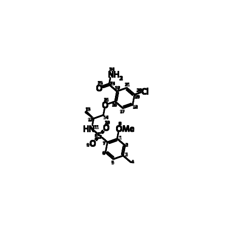 COc1cc(C)ccc1S(=O)(=O)N[C@@H](C)COc1ccc(Cl)cc1C(N)=O